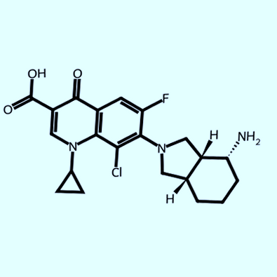 N[C@@H]1CCC[C@@H]2CN(c3c(F)cc4c(=O)c(C(=O)O)cn(C5CC5)c4c3Cl)C[C@@H]21